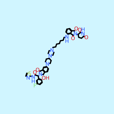 O=C1CCC(N2C(=O)c3cccc(NCCCCCCCN4CCN(C5CCN(c6ccc7c(c6)C(=O)N(C(C(=O)Nc6nccs6)c6cc(F)ccc6O)C7)CC5)CC4)c3C2=O)C(=O)N1